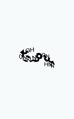 O=C(N1CCN(Cc2ccc3cc(Oc4ccc(-c5ccn[nH]5)cn4)ccc3n2)CC1)C1(CO)CC1